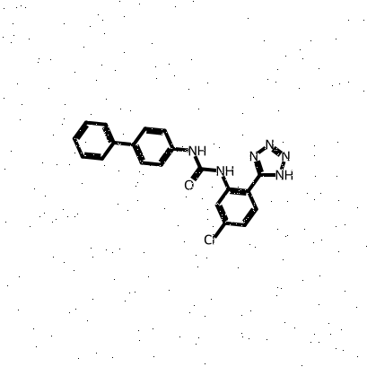 O=C(Nc1ccc(-c2ccccc2)cc1)Nc1cc(Cl)ccc1-c1nnn[nH]1